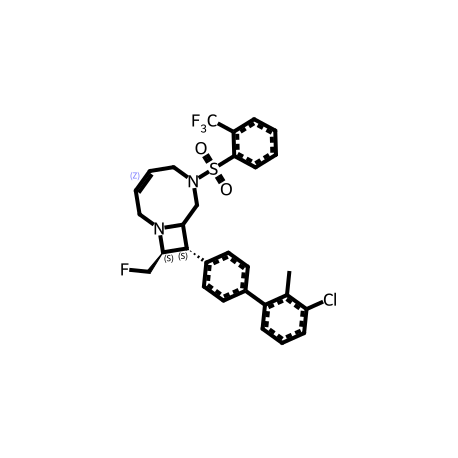 Cc1c(Cl)cccc1-c1ccc([C@H]2C3CN(S(=O)(=O)c4ccccc4C(F)(F)F)C/C=C\CN3[C@@H]2CF)cc1